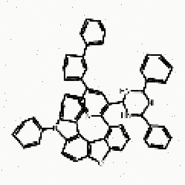 c1ccc(-c2cccc(-c3cnc(-c4cccc5oc6ccc7c(c8ccccc8n7-c7ccccc7)c6c45)c(C4NC(c5ccccc5)NC(c5ccccc5)N4)c3)c2)cc1